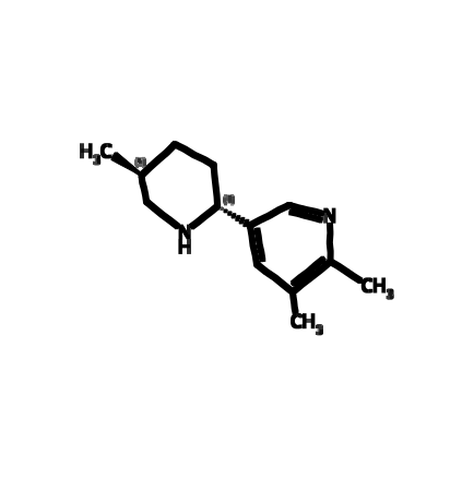 Cc1cc([C@H]2CC[C@H](C)CN2)cnc1C